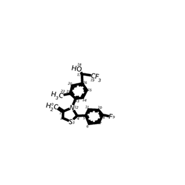 C=C1CSC(c2ccc(F)cc2)N1c1ccc(C(O)C(F)(F)F)cc1C